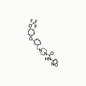 O=C(Nc1ccon1)N1CCN(Cc2cccc(Oc3ccc(OC(F)(F)F)cc3)c2)CC1